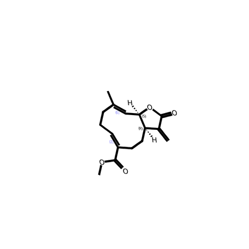 C=C1C(=O)O[C@@H]2/C=C(\C)CC/C=C(\C(=O)OC)CC[C@H]12